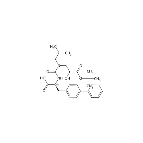 CC(C)CN(CC(O)C(=O)OC(C)(C)C)C(=O)N[C@@H](Cc1ccc(-c2ccccc2)cc1)C(=O)O